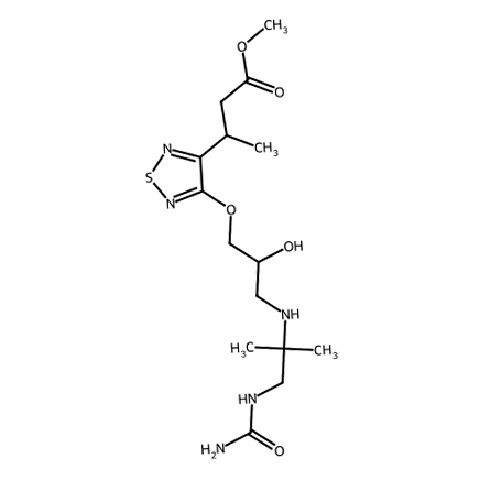 COC(=O)CC(C)c1nsnc1OCC(O)CNC(C)(C)CNC(N)=O